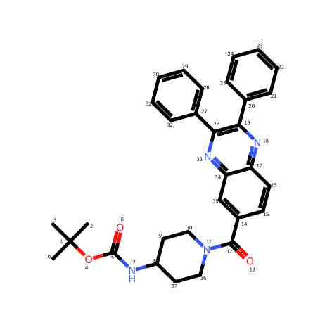 CC(C)(C)OC(=O)NC1CCN(C(=O)c2ccc3nc(-c4ccccc4)c(-c4ccccc4)nc3c2)CC1